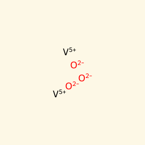 [O-2].[O-2].[O-2].[V+5].[V+5]